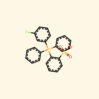 O=S(=O)([O-])c1ccccc1[P+](c1ccccc1)(c1ccccc1)c1cccc(F)c1